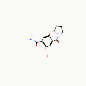 COc1cc2c(cc1C(=O)N(C)C)OC1CCCN1C2=O